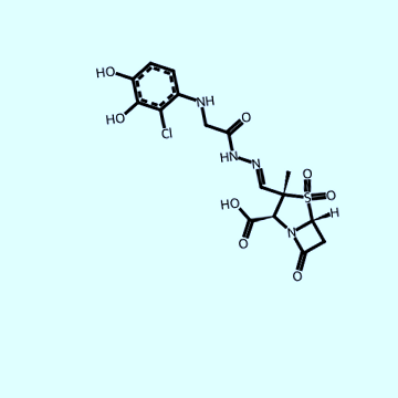 C[C@]1(/C=N/NC(=O)CNc2ccc(O)c(O)c2Cl)[C@H](C(=O)O)N2C(=O)C[C@H]2S1(=O)=O